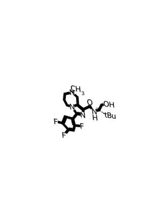 CN1CCCn2c(-c3cc(F)c(F)cc3F)nc(C(=O)N[C@H](CO)C(C)(C)C)c2C1